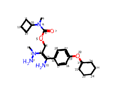 CN(N)/C(COC(=O)N(C)C1CCC1)=C(\N)c1ccc(OC2CCCCC2)cc1